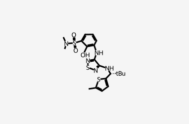 Cc1ccc([C@H](Nc2nsnc2Nc2cccc(S(=O)(=O)N(C)C)c2O)C(C)(C)C)s1